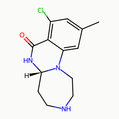 Cc1cc(Cl)c2c(c1)N1CCNCC[C@@H]1NC2=O